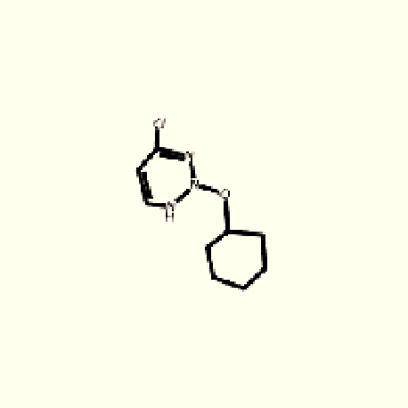 ClC1=NN(OC2CCCCC2)N[C]=C1